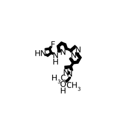 CC(C)(O)Cn1cc(-c2ccc3ncc(-c4cccc(NC5CNCC5F)n4)n3c2)cn1